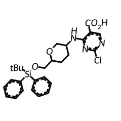 CC(C)(C)[Si](OCC1CCC(Nc2nc(Cl)ncc2C(=O)O)CO1)(c1ccccc1)c1ccccc1